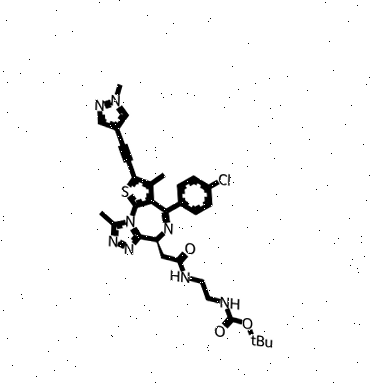 Cc1c(C#Cc2cnn(C)c2)sc2c1C(c1ccc(Cl)cc1)=N[C@@H](CC(=O)NCCNC(=O)OC(C)(C)C)c1nnc(C)n1-2